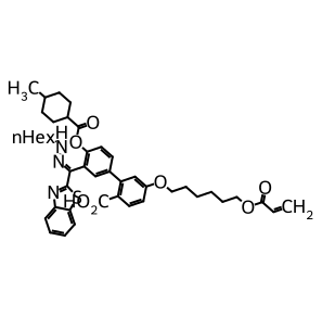 C=CC(=O)OCCCCCCOc1ccc(C(=O)O)c(-c2ccc(OC(=O)C3CCC(C)CC3)c(C(=NNCCCCCC)c3nc4ccccc4s3)c2)c1